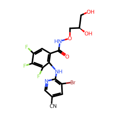 N#Cc1cnc(Nc2c(C(=O)NOC[C@H](O)CO)cc(F)c(F)c2F)c(Br)c1